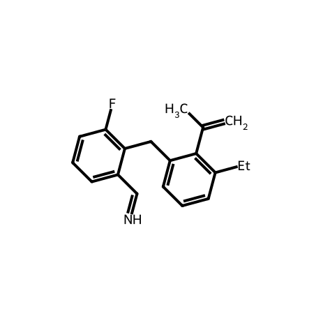 C=C(C)c1c(CC)cccc1Cc1c(F)cccc1C=N